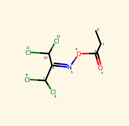 CCC(=O)ON=C(C(Cl)Cl)C(Cl)Cl